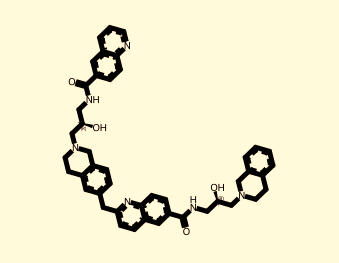 O=C(NC[C@@H](O)CN1CCc2ccccc2C1)c1ccc2nc(Cc3ccc4c(c3)CCN(C[C@H](O)CNC(=O)c3ccc5ncccc5c3)C4)ccc2c1